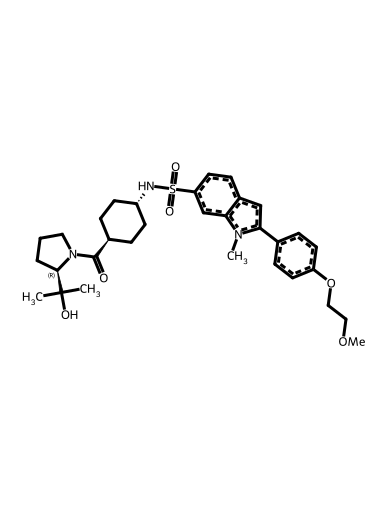 COCCOc1ccc(-c2cc3ccc(S(=O)(=O)N[C@H]4CC[C@H](C(=O)N5CCC[C@@H]5C(C)(C)O)CC4)cc3n2C)cc1